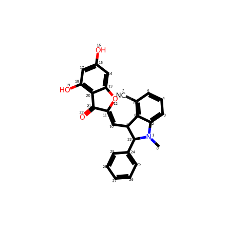 CN1c2cccc(C#N)c2C(/C=C2\Oc3cc(O)cc(O)c3C2=O)C1c1ccccc1